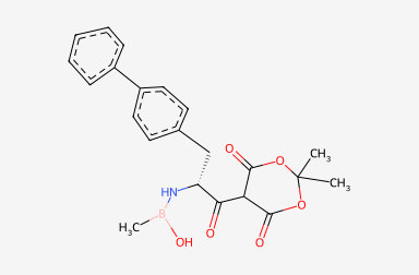 CB(O)N[C@H](Cc1ccc(-c2ccccc2)cc1)C(=O)C1C(=O)OC(C)(C)OC1=O